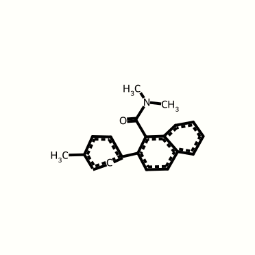 Cc1ccc(-c2ccc3ccccc3c2C(=O)N(C)C)cc1